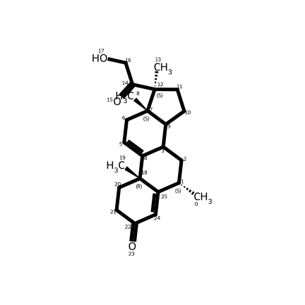 C[C@H]1CC2C(=CC[C@@]3(C)C2CC[C@]3(C)C(=O)CO)[C@@]2(C)CCC(=O)C=C12